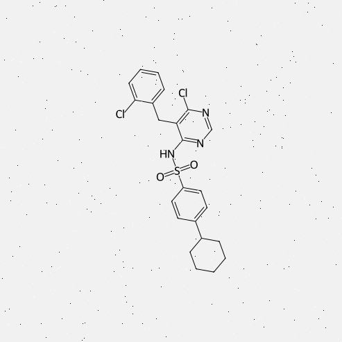 O=S(=O)(Nc1ncnc(Cl)c1Cc1ccccc1Cl)c1ccc(C2CCCCC2)cc1